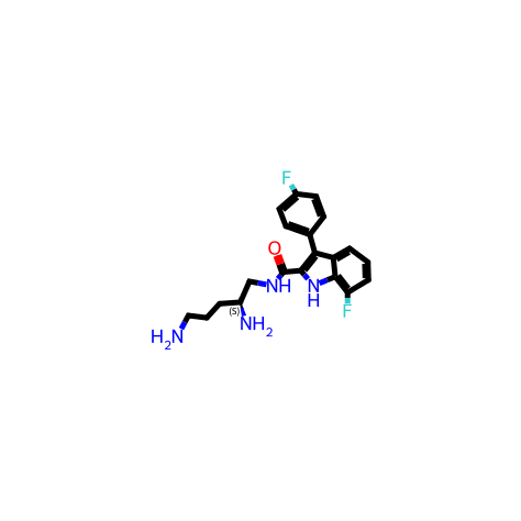 NCCC[C@H](N)CNC(=O)c1[nH]c2c(F)cccc2c1-c1ccc(F)cc1